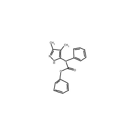 Cc1n[nH]c(N(C(=O)Oc2ccccc2)c2ccccc2)c1C